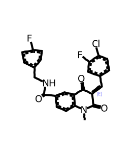 CN1C(=O)/C(=C/c2ccc(Cl)c(F)c2)C(=O)c2cc(C(=O)NCc3ccc(F)cc3)ccc21